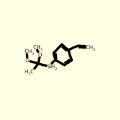 C=Cc1ccc([SiH2]C(C)(OC)OC)cc1